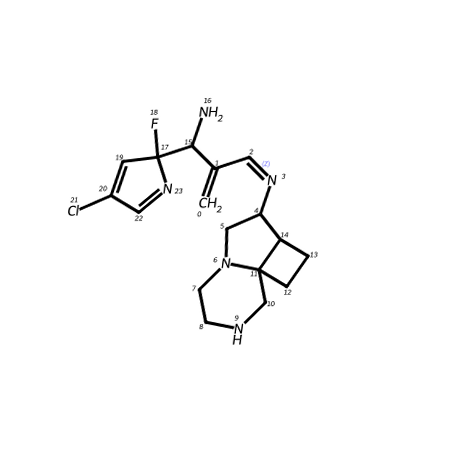 C=C(/C=N\C1CN2CCNCC23CCC13)C(N)C1(F)C=C(Cl)C=N1